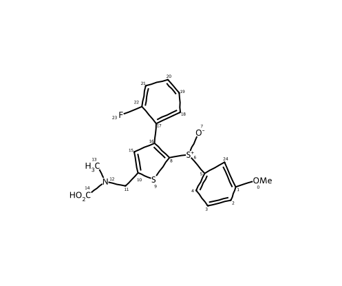 COc1cccc([S+]([O-])c2sc(CN(C)C(=O)O)cc2-c2ccccc2F)c1